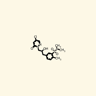 Cc1ccc(CC(O)Cn2ncc(Cl)cc2=O)cc1S(=O)(=O)N(C)C